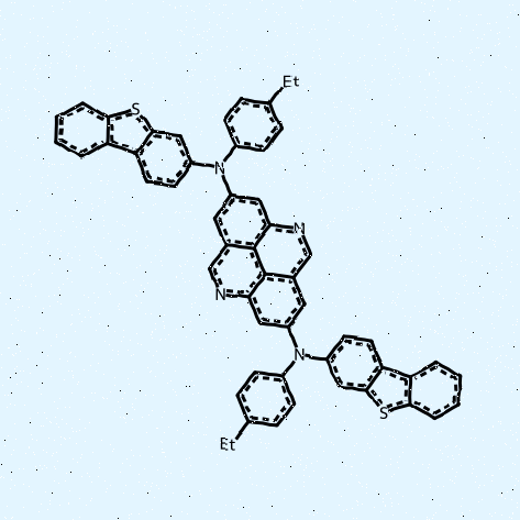 CCc1ccc(N(c2cc3cnc4cc(N(c5ccc(CC)cc5)c5ccc6c(c5)sc5ccccc56)cc5cnc(c2)c3c54)c2ccc3c(c2)sc2ccccc23)cc1